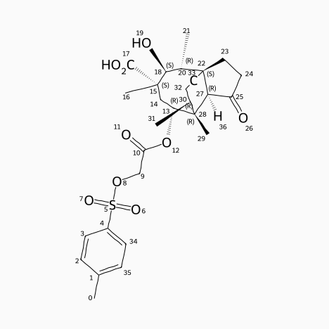 Cc1ccc(S(=O)(=O)OCC(=O)O[C@@H]2C[C@](C)(C(=O)O)[C@@H](O)[C@H](C)[C@]34CCC(=O)[C@H]3[C@@]2(C)[C@H](C)CC4)cc1